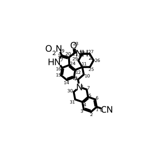 N#Cc1ccc2c(c1)CN(CCC1(c3cccc4[nH]c([N+](=O)[O-])c(C(N)=O)c34)CCCCC1)CC2